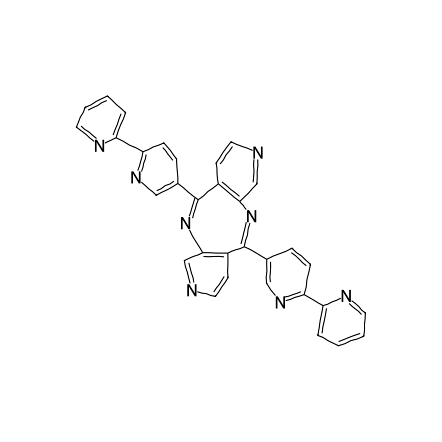 c1ccc(-c2ccc(/C3=N/c4cnccc4/C(c4ccc(-c5ccccn5)nc4)=N\c4cnccc43)cn2)nc1